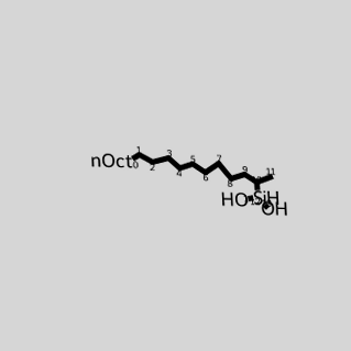 CCCCCCCCCCCCCCCCCC(C)[SiH](O)O